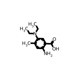 CCN(CC)c1cc(C(=O)O)c(N)cc1C